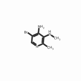 CNc1c(C)ncc(Br)c1N